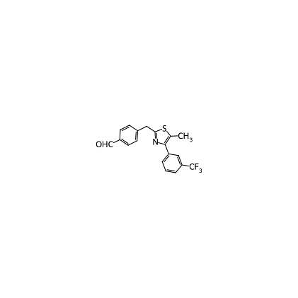 Cc1sc(Cc2ccc(C=O)cc2)nc1-c1cccc(C(F)(F)F)c1